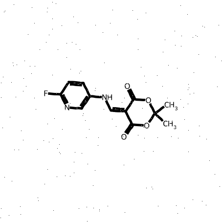 CC1(C)OC(=O)C(=CNc2ccc(F)nc2)C(=O)O1